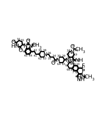 CN/C=C(\C=N)c1cc2c(cc1C(F)F)N(C(=N)C1CN(C(C)=O)CCC1NC1CCN(C(=O)CCCN3CCC(CCc4cccc5c4n(C)c(=O)n5C4CCC(=O)NC4=O)CC3)CC1)CCC2